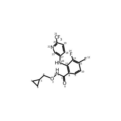 O=C(NOCC1CC1)c1ccc(F)c(F)c1Nc1ccc(C(F)(F)F)nc1